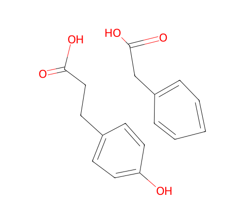 O=C(O)CCc1ccc(O)cc1.O=C(O)Cc1ccccc1